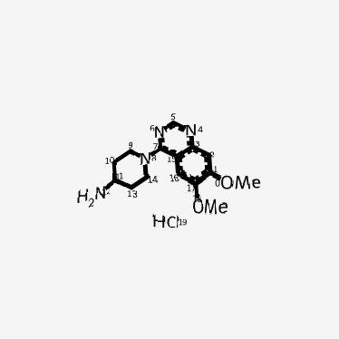 COc1cc2ncnc(N3CCC(N)CC3)c2cc1OC.Cl